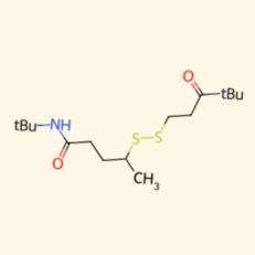 CC(CCC(=O)NC(C)(C)C)SSCCC(=O)C(C)(C)C